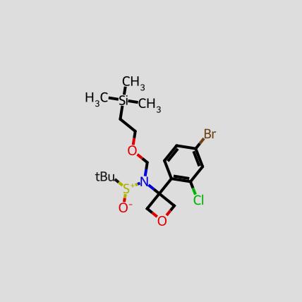 CC(C)(C)[S+]([O-])N(COCC[Si](C)(C)C)C1(c2ccc(Br)cc2Cl)COC1